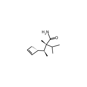 CC(C)[C@@](C)(C(N)=O)[C@@H](C)[C@@H]1C=CC1